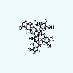 C[C@H](NC(=O)[C@H](C)NC(=O)[C@@H](NC(=O)CN1C(=O)C=CC1=O)[C@H](NC(=O)CN1C(=O)C=CC1=O)C(=O)N[C@@H](C)C(=O)N[C@@H](C)C(=O)O)C(=O)O